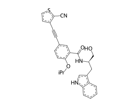 CC(C)Oc1ccc(C#Cc2ccsc2C#N)cc1C(=O)N[C@@H](CO)Cc1c[nH]c2ccccc12